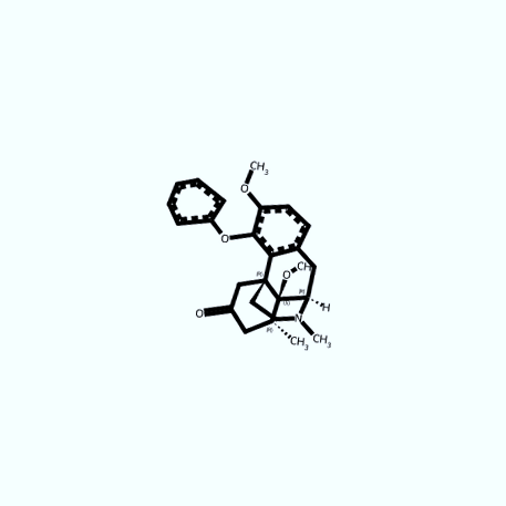 COc1ccc2c(c1Oc1ccccc1)[C@]13CCN(C)[C@H](C2)[C@]1(OC)[C@H](C)CC(=O)C3